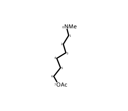 CNCCCCCCOC(C)=O